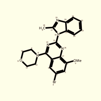 COc1cc(Br)cc2c(N3CCOCC3)nc(-n3c(C)nc4ccccc43)nc12